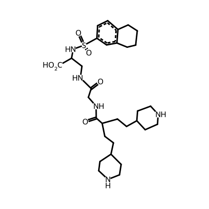 O=C(CNC(=O)C(CCC1CCNCC1)CCC1CCNCC1)NCC(NS(=O)(=O)c1ccc2c(c1)CCCC2)C(=O)O